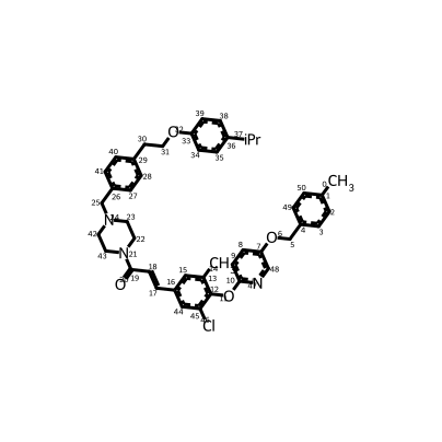 Cc1ccc(COc2ccc(Oc3c(C)cc(C=CC(=O)N4CCN(Cc5ccc(CCOc6ccc(C(C)C)cc6)cc5)CC4)cc3Cl)nc2)cc1